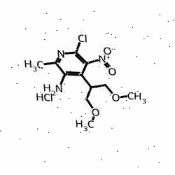 COCC(COC)c1c(N)c(C)nc(Cl)c1[N+](=O)[O-].Cl